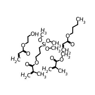 C=C(C)C(=O)OC.C=C(C)C(=O)OCCC[Si](OC)(OC)OC.C=CC(=O)OCCCC.C=CC(=O)OCCO